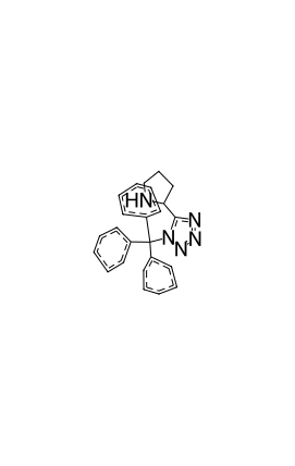 c1ccc(C(c2ccccc2)(c2ccccc2)n2nnnc2C2CCCN2)cc1